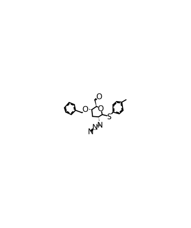 Cc1ccc(SC2O[C@H](C=O)[C@@H](OCc3ccccc3)C[C@H]2N=[N+]=[N-])cc1